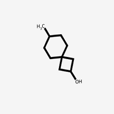 CC1CCC2(CC1)CC(O)C2